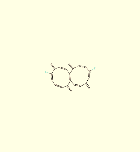 C=c1ccc2c(=C)cccc(F)c(=C)ccc2c(=C)ccc(F)c1